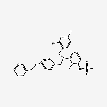 Cc1c(NS(C)(=O)=O)cccc1N(Cc1ccc(OCc2ccccc2)cc1)Cc1ccc(F)cc1F